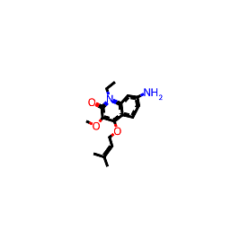 CCn1c(=O)c(OC)c(OCC=C(C)C)c2ccc(N)cc21